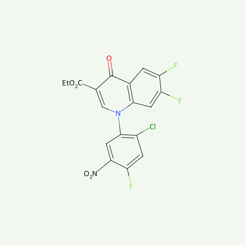 CCOC(=O)c1cn(-c2cc([N+](=O)[O-])c(F)cc2Cl)c2cc(F)c(F)cc2c1=O